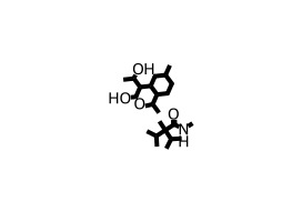 CC1CCC(C(C)C)C(C(C(=O)O)C(C)O)C1.CNC(=O)C(C)(C(C)C)C(C)C